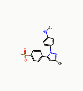 CCNc1ccc(-n2nc(C#N)cc2-c2ccc(S(C)(=O)=O)cc2)cc1